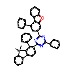 C[Si]1(C)c2ccccc2-c2ccc(-c3nc(-c4ccccc4)nc(-c4cc(-c5ccccc5)c5c(c4)oc4ccccc45)n3)c(-c3ccccc3)c21